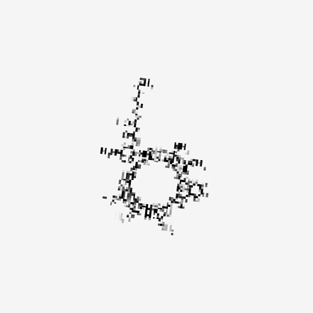 CCCCCCC[C@@H](O)CC(=O)N[C@H](CC(N)=O)C(=O)N[C@H]1CCNC(=O)[C@H](CC(C)C)NC(=O)[C@H](CCN)NC(=O)[C@H](CCN)NC(=O)[C@H](Cc2ccccc2)NC(=O)[C@@H](CC(C)C)NC(=O)[C@H](CCN)NC1=O